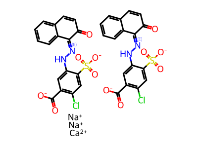 O=C1C=Cc2ccccc2/C1=N\Nc1cc(C(=O)[O-])c(Cl)cc1S(=O)(=O)[O-].O=C1C=Cc2ccccc2/C1=N\Nc1cc(C(=O)[O-])c(Cl)cc1S(=O)(=O)[O-].[Ca+2].[Na+].[Na+]